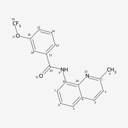 Cc1ccc2cccc(NC(=O)c3cccc(OC(F)(F)F)c3)c2n1